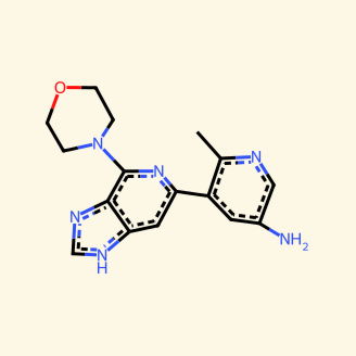 Cc1ncc(N)cc1-c1cc2[nH]cnc2c(N2CCOCC2)n1